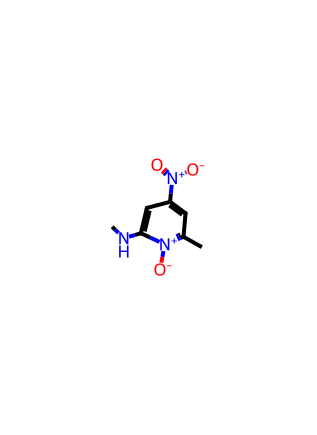 CNc1cc([N+](=O)[O-])cc(C)[n+]1[O-]